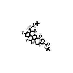 CC(C)(C)OC(=O)Nc1sc2c(F)ccc(-c3c(F)cc4c5c3c(Cl)nn5CC[C@@H]3CN(C(=O)OC(C)(C)C)CCN3C4=O)c2c1C#N